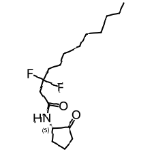 CCCCCCCCCC(F)(F)CC(=O)N[C@H]1CCCC1=O